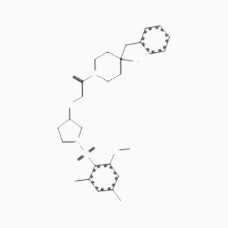 COc1cc(C)cc(C)c1S(=O)(=O)N1CCC(OCC(=O)N2CCC(O)(Cc3ccccc3)CC2)C1